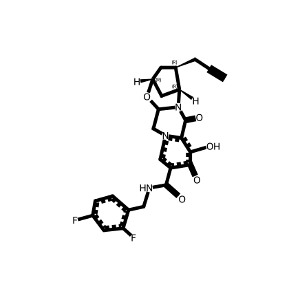 C#CC[C@@H]1C[C@@H]2C[C@H]1N1C(=O)c3c(O)c(=O)c(C(=O)NCc4ccc(F)cc4F)cn3CC1O2